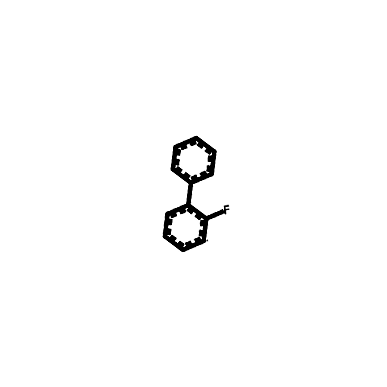 Fc1[c]cccc1-c1ccccc1